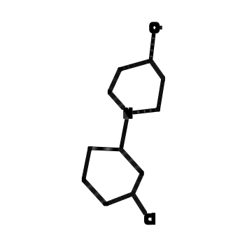 [O]C1CCN(C2CCCC(Cl)C2)CC1